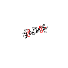 CC1(C)OB(C2=CC=C(B3OC(C)(C)C(C)(C)O3)CC2)OC1(C)C